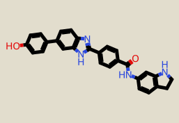 O=C(Nc1ccc2c(c1)NCC2)c1ccc(-c2nc3ccc(-c4ccc(O)cc4)cc3[nH]2)cc1